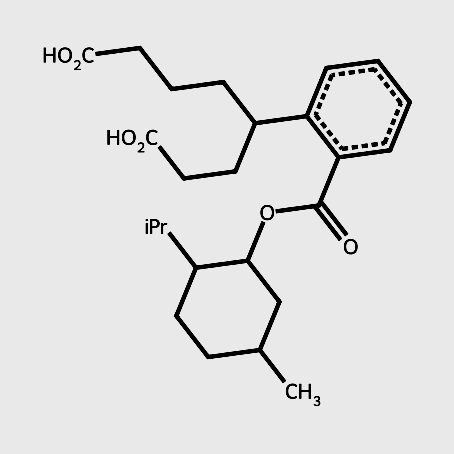 CC1CCC(C(C)C)C(OC(=O)c2ccccc2C(CCCC(=O)O)CCC(=O)O)C1